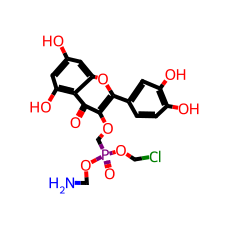 NCOP(=O)(COc1c(-c2ccc(O)c(O)c2)oc2cc(O)cc(O)c2c1=O)OCCl